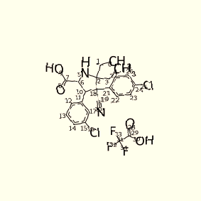 CCC1(CC)NC(C(=O)O)C(c2cccc(Cl)c2)C1(C#N)c1ccc(Cl)cc1.O=C(O)C(F)(F)F